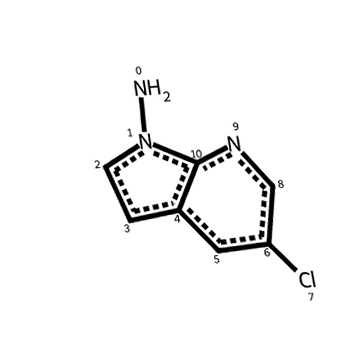 Nn1ccc2cc(Cl)cnc21